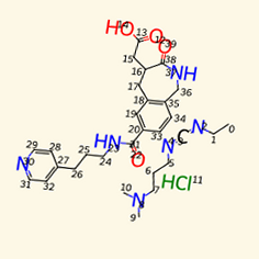 CCN=C=NCCCN(C)C.Cl.O=C(O)CC1Cc2cc(C(=O)NCCCc3ccncc3)ccc2CNC1=O